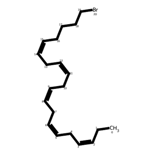 CC/C=C\C/C=C\C/C=C\C/C=C\C/C=C\CCCCBr